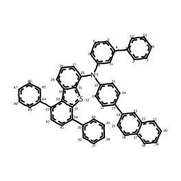 c1ccc(-c2cccc(N(c3ccc(-c4ccc5ccccc5c4)cc3)c3cccc4c3sc3c(-c5ccccc5)ccc(-c5ccccc5)c34)c2)cc1